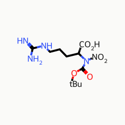 CC(C)(C)OC(=O)N(C(CCCNC(=N)N)C(=O)O)[N+](=O)[O-]